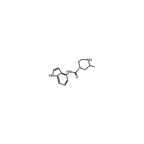 CC1CN(C(=O)Nc2cccc3[nH]ccc23)CCN1